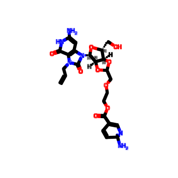 C=CCn1c(=O)n([C@@H]2O[C@H](CO)[C@H]3OC(COCCOC(=O)c4ccc(N)nc4)O[C@H]32)c2cc(N)[nH]c(=O)c21